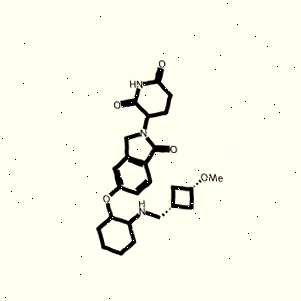 CO[C@H]1C[C@@H](CNC2CCCCC2Oc2ccc3c(c2)CN(C2CCC(=O)NC2=O)C3=O)C1